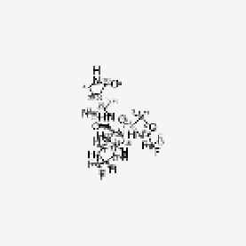 CC(C)(C)[C@H](NC(=O)C(F)(F)F)C(=O)N1C[C@@H]2[C@H]3C[C@@H]([C@@H]2[C@H]1C(=O)N[C@H](C#N)C[C@@H]1CCNC1=O)[C@H]1[C@@H]3C1(F)F